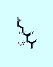 CC(C)[C@H](N)C(=O)NCCS